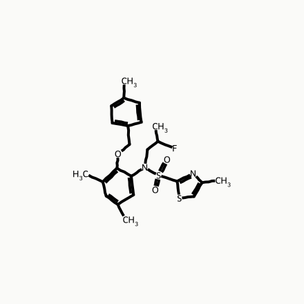 Cc1ccc(COc2c(C)cc(C)cc2N(CC(C)F)S(=O)(=O)c2nc(C)cs2)cc1